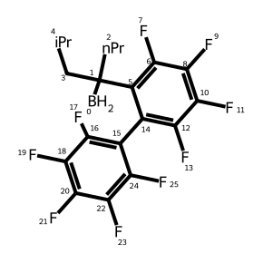 BC(CCC)(CC(C)C)c1c(F)c(F)c(F)c(F)c1-c1c(F)c(F)c(F)c(F)c1F